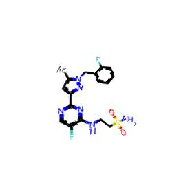 CC(=O)c1cc(-c2ncc(F)c(NCCS(N)(=O)=O)n2)nn1Cc1ccccc1F